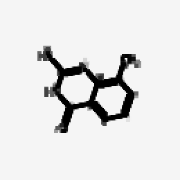 Cc1cccc2c(=O)[nH]c(S)nc12